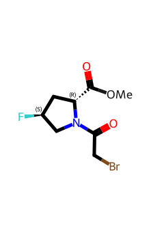 COC(=O)[C@H]1C[C@H](F)CN1C(=O)CBr